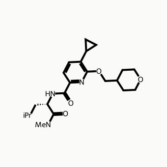 CNC(=O)[C@H](CC(C)C)NC(=O)c1ccc(C2CC2)c(OCC2CCOCC2)n1